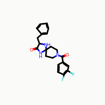 O=C1NC2(CCN(C(=O)c3ccc(F)c(F)c3)CC2)NC1Cc1ccccc1